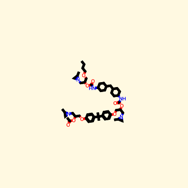 CCCCOCC(CN1CC1C)OC(=O)NC1CCC(CC2CCC(NC(=O)OC(COc3ccc(C(C)(C)c4ccc(OCC(CN5CC5C)OC(C)=O)cc4)cc3)CN3CC3C)CC2)CC1